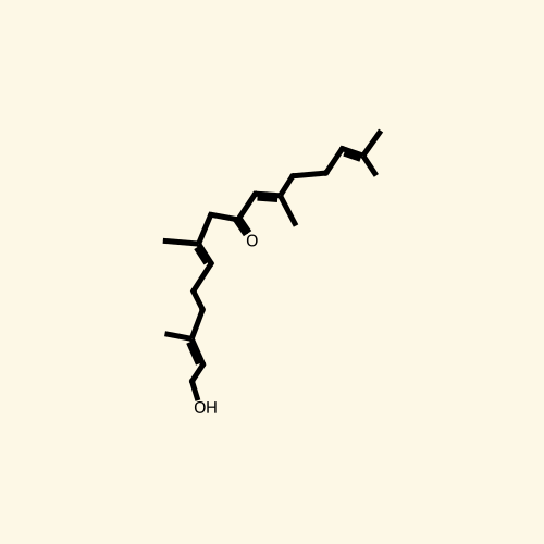 CC(C)=CCC/C(C)=C/C(=O)CC(C)=CCC/C(C)=C/CO